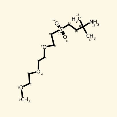 COCCOCCOCCS(=O)(=O)CCC(C)(C)N